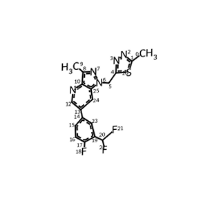 Cc1nnc(Cn2nc(C)c3ncc(-c4ccc(F)c(C(F)F)c4)cc32)s1